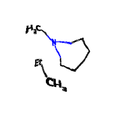 CCC.CN1CCCC1